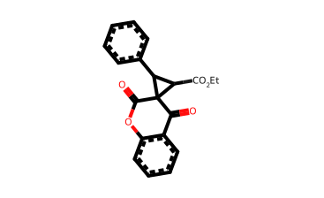 CCOC(=O)C1C(c2ccccc2)C12C(=O)Oc1ccccc1C2=O